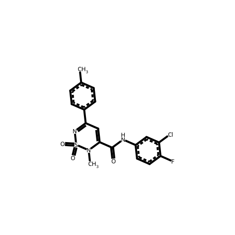 Cc1ccc(C2=NS(=O)(=O)N(C)C(C(=O)Nc3ccc(F)c(Cl)c3)=C2)cc1